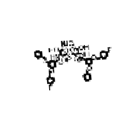 O=C(N[C@@H]1[C@@H](O)[C@@H](CO)O[C@@H](S[C@@H]2O[C@H](CO)[C@H](O)[C@@H](NC(=O)c3cc(OCc4ccccc4)cc(OCc4ccc(F)cc4)c3)[C@H]2O)[C@@H]1O)c1cc(OCc2ccccc2)cc(OCc2ccc(F)cc2)c1